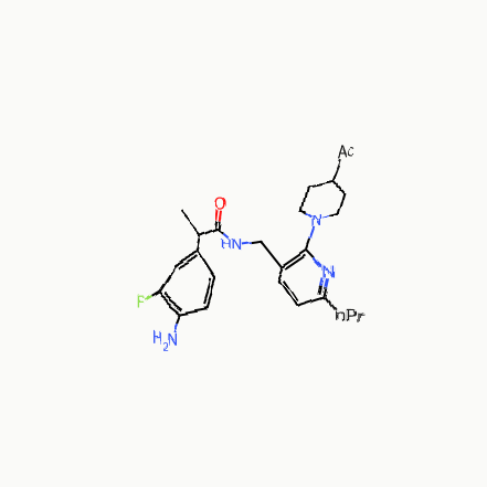 CCCc1ccc(CNC(=O)C(C)c2ccc(N)c(F)c2)c(N2CCC(C(C)=O)CC2)n1